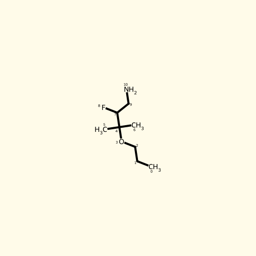 CCCOC(C)(C)C(F)CN